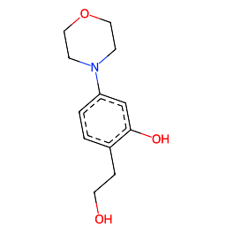 OCCc1ccc(N2CCOCC2)cc1O